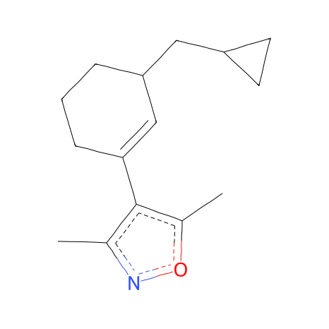 Cc1noc(C)c1C1=CC(CC2CC2)CCC1